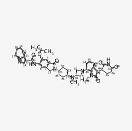 CC(C)Oc1cc2c(cc1NC(=O)c1cnn3cccnc13)CN([C@H]1CC[C@H](N(C)C3CN(c4cccc5c4n(C)c(=O)n5C4CCC(=O)NC4=O)C3)CC1)C2=O